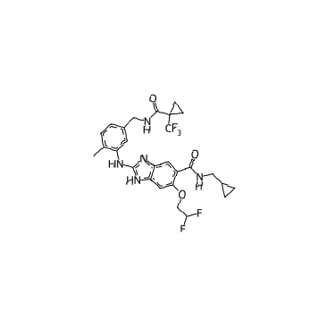 Cc1ccc(CNC(=O)C2(C(F)(F)F)CC2)cc1Nc1nc2cc(C(=O)NCC3CC3)c(OCC(F)F)cc2[nH]1